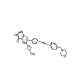 O=c1[nH]cnc(C[C@H](CN2CC(O)C2)c2ccc(C#Cc3ccc(CN4CCOCC4)cc3)cc2)c1O